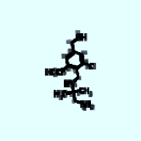 CC(C)(CN)NCc1c(Cl)cc(CO)cc1Cl.Cl